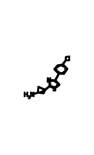 NC12CC(c3nc(-c4ccc(Cl)cc4)cs3)(C1)C2